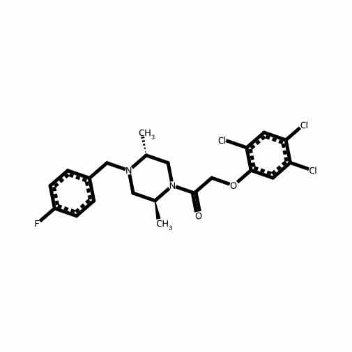 C[C@@H]1CN(C(=O)COc2cc(Cl)c(Cl)cc2Cl)[C@@H](C)CN1Cc1ccc(F)cc1